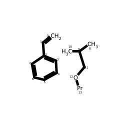 C=Cc1ccccc1.CC(C)C[O][Pr]